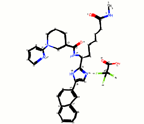 CNC(=O)CCCCC[C@H](NC(=O)C1CCCN(c2ccccn2)C1)c1ncc(-c2ccc3ccccc3c2)[nH]1.O=C(O)C(F)(F)F